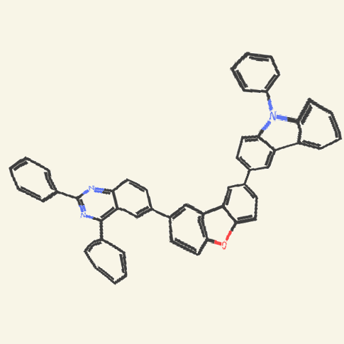 c1ccc(-c2nc(-c3ccccc3)c3cc(-c4ccc5oc6ccc(-c7ccc8c(c7)c7ccccc7n8-c7ccccc7)cc6c5c4)ccc3n2)cc1